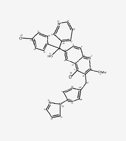 COc1nc2ccc(C(O)(c3ccc(Cl)cc3)c3cccnc3)cc2c(Cl)c1Cc1ccc(-n2cccn2)cc1